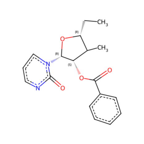 CC[C@H]1O[C@@H](n2cccnc2=O)[C@@H](OC(=O)c2ccccc2)C1C